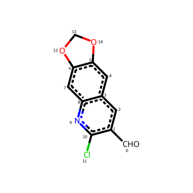 O=Cc1cc2cc3c(cc2nc1Cl)OCO3